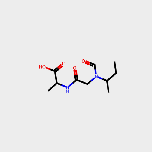 CCC(C)N(C=O)CC(=O)NC(C)C(=O)O